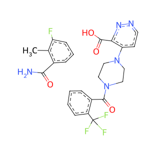 Cc1c(F)cccc1C(N)=O.O=C(O)c1nnccc1N1CCN(C(=O)c2ccccc2C(F)(F)F)CC1